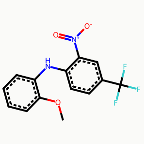 COc1ccccc1Nc1ccc(C(F)(F)F)cc1[N+](=O)[O-]